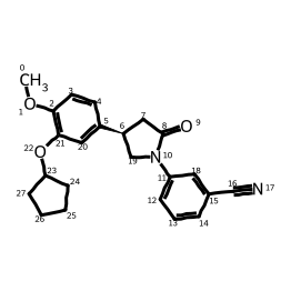 COc1ccc([C@H]2CC(=O)N(c3cccc(C#N)c3)C2)cc1OC1CCCC1